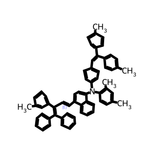 Cc1ccc(C(=Cc2ccc(N(c3ccc(C)cc3C)c3ccc(/C=C/C(=C(c4ccccc4)c4ccccc4)c4cccc(C)c4)c4ccccc34)cc2)c2ccc(C)cc2)cc1